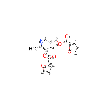 Cc1ncc(COC(=O)c2ccco2)cc1OC(=O)c1ccco1